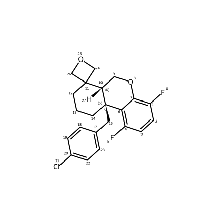 Fc1ccc(F)c2c1OC[C@H]1C3(CCC[C@@]21Cc1ccc(Cl)cc1)COC3